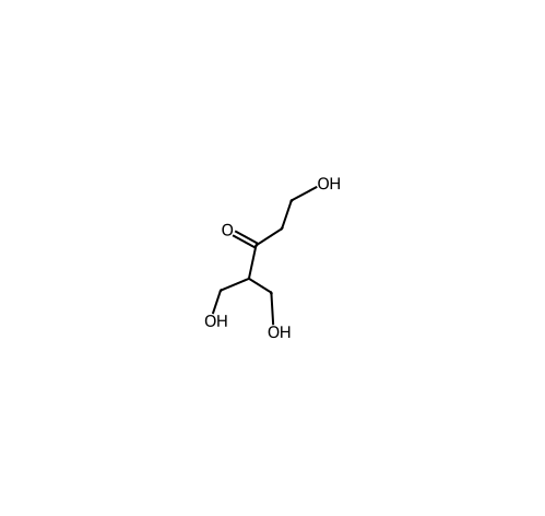 O=C(CCO)C(CO)CO